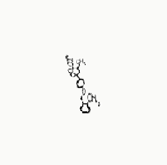 CCC(CC(=O)c1ccc(OCc2ccccc2C)cc1)C(=O)O